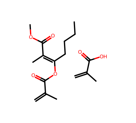 C=C(C)C(=O)O.C=C(C)C(=O)OC(CCCC)=C(C)C(=O)OC